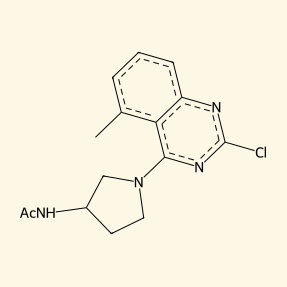 CC(=O)NC1CCN(c2nc(Cl)nc3cccc(C)c23)C1